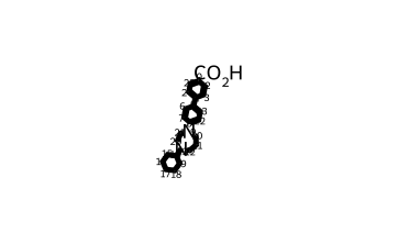 O=C(O)c1ccc(-c2ccc(N3CCCN(C4CCCCC4)CC3)cc2)cc1